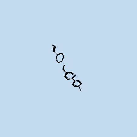 CC=C[C@H]1CC[C@H](CCc2ccc(-c3ccc(Cl)cc3)nc2)CC1